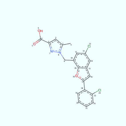 Cc1cc(C(=O)O)nn1Cc1cc(Cl)cc2cc(-c3ccccc3Cl)oc12